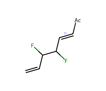 C=CC(F)C(F)/C=C/C(C)=O